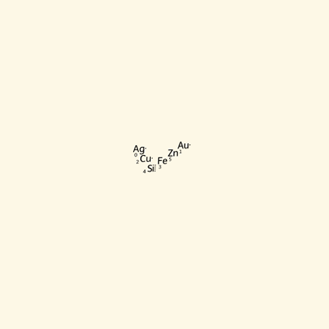 [Ag].[Au].[Cu].[Fe].[Si].[Zn]